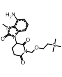 Cn1c(=O)n(C2CCC(=O)N(COCC[Si](C)(C)C)C2=O)c2cccc(N)c21